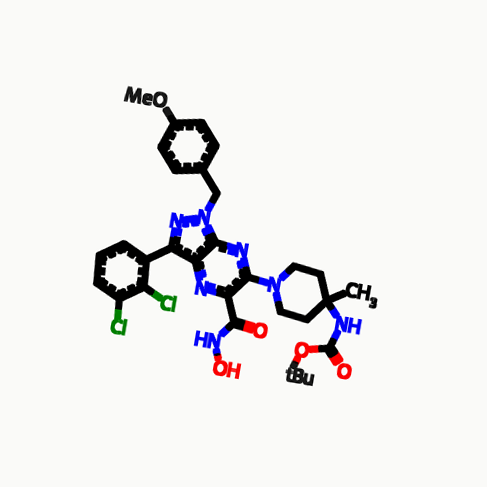 COc1ccc(Cn2nc(-c3cccc(Cl)c3Cl)c3nc(C(=O)NO)c(N4CCC(C)(NC(=O)OC(C)(C)C)CC4)nc32)cc1